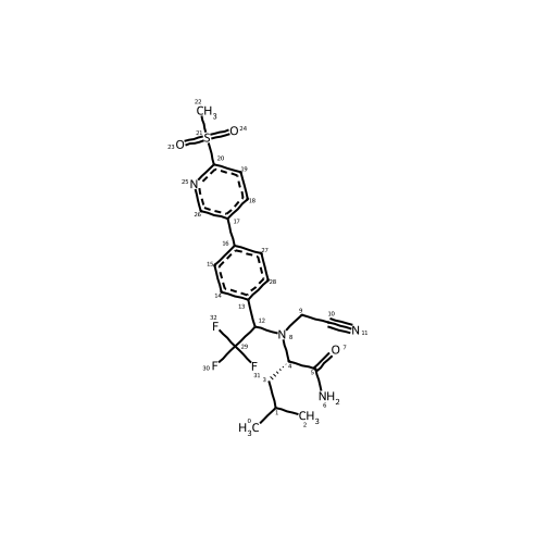 CC(C)C[C@@H](C(N)=O)N(CC#N)C(c1ccc(-c2ccc(S(C)(=O)=O)nc2)cc1)C(F)(F)F